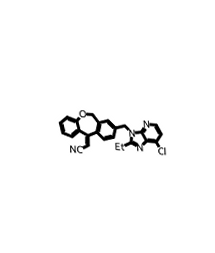 CCc1nc2c(Cl)ccnc2n1Cc1ccc2c(c1)COc1ccccc1C2=CC#N